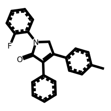 Cc1ccc(C2=C(c3ccccc3)C(=O)N(c3ccccc3F)C2)cc1